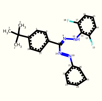 CC(C)(C)c1ccc(C(=N/Nc2c(F)cccc2F)/N=N/c2ccccc2)cc1